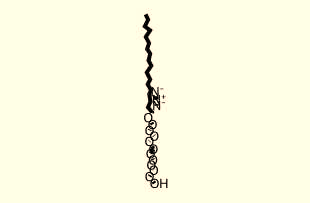 CCCCCCCCCCCCCCCCCCOOOOOOOOOOOO.[N-]=[N+]=[N-]